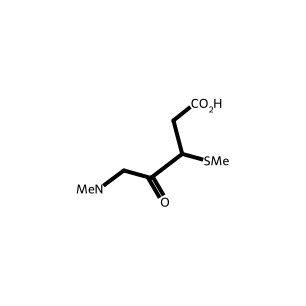 CNCC(=O)C(CC(=O)O)SC